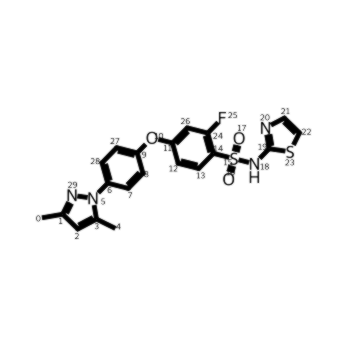 Cc1cc(C)n(-c2ccc(Oc3ccc(S(=O)(=O)Nc4nccs4)c(F)c3)cc2)n1